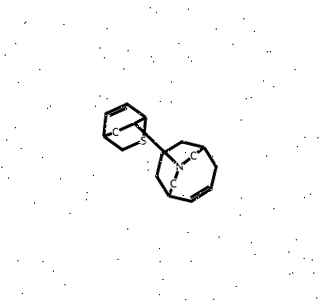 C1=CC2SCC1CC2N1CC2/C=C\CC(CCC2)C1